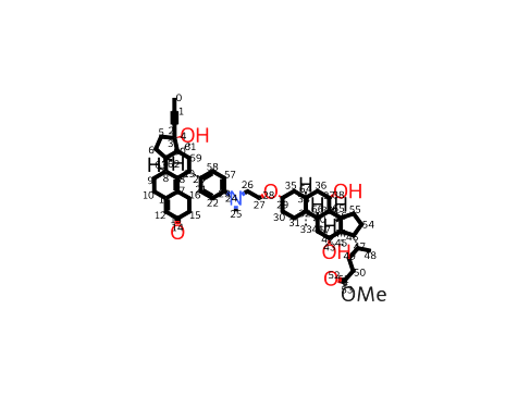 CC#C[C@]1(O)CC[C@H]2[C@@H]3CCC4=CC(=O)CCC4=C3[C@@H](c3ccc(N(C)CCO[C@H]4CC[C@@]5(C)[C@@H](C4)C[C@@H](O)[C@@H]4[C@@H]5C[C@H](O)[C@]5(C)[C@@H](C(C)CCC(=O)OC)CC[C@@H]45)cc3)C[C@@]21C